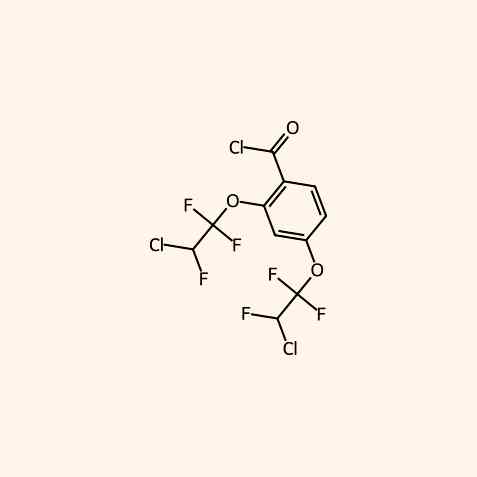 O=C(Cl)c1ccc(OC(F)(F)C(F)Cl)cc1OC(F)(F)C(F)Cl